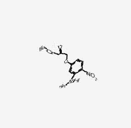 CCCNc1cc(OCC(=O)OC(C)(C)C)ccc1[N+](=O)[O-]